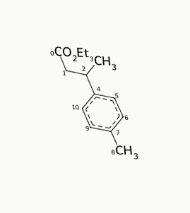 CCOC(=O)CC(C)c1ccc(C)cc1